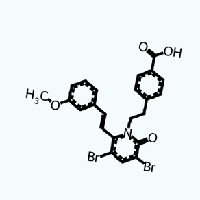 COc1cccc(/C=C/c2c(Br)cc(Br)c(=O)n2CCc2ccc(C(=O)O)cc2)c1